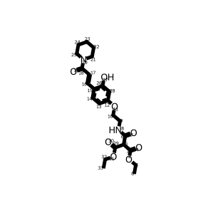 CCOC(=O)C(C(=O)NCCOc1ccc(/C=C/C(=O)N2CCCCC2)c(O)c1)C(=O)OCC